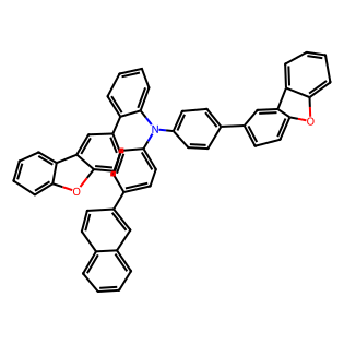 c1ccc(N(c2ccc(-c3ccc4ccccc4c3)cc2)c2ccc(-c3ccc4oc5ccccc5c4c3)cc2)c(-c2ccc3oc4ccccc4c3c2)c1